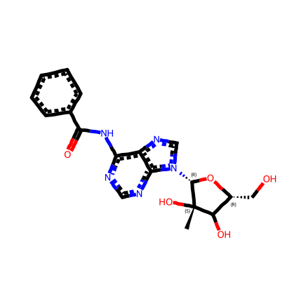 C[C@]1(O)C(O)[C@@H](CO)O[C@H]1n1cnc2c(NC(=O)c3ccccc3)ncnc21